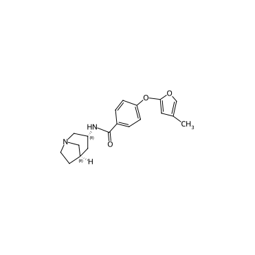 Cc1coc(Oc2ccc(C(=O)N[C@@H]3C[C@H]4CCN(C4)C3)cc2)c1